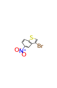 O=[N+]([O-])c1ccc2scc(Br)c2c1